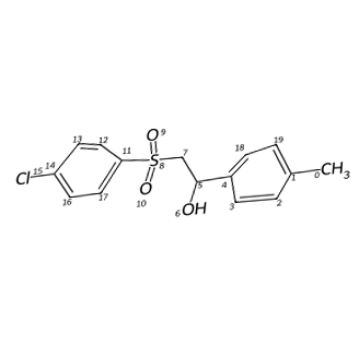 Cc1ccc(C(O)CS(=O)(=O)c2ccc(Cl)cc2)cc1